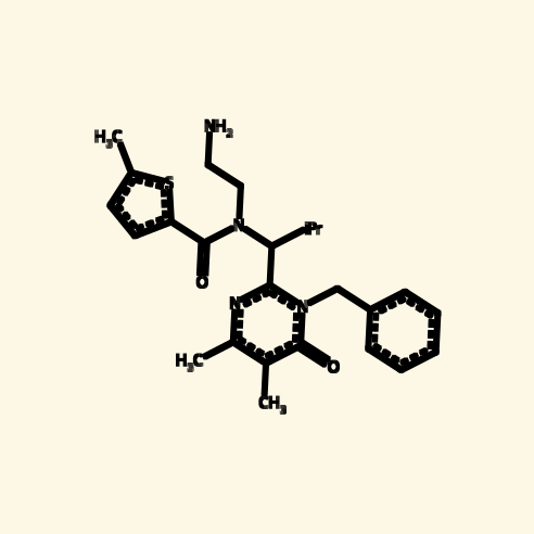 Cc1ccc(C(=O)N(CCN)C(c2nc(C)c(C)c(=O)n2Cc2ccccc2)C(C)C)s1